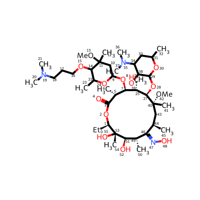 CC[C@H]1OC(=O)[C@H](C)[C@@H](OC2CC(C)(OC)C(OCCCN(C)C)C(C)O2)[C@H](C)[C@@H](OC2OC(C)CC(N(C)C)C2O)[C@](C)(OC)C[C@@H](C)/C(=N\O)[C@H](C)[C@@H](O)[C@]1(C)O